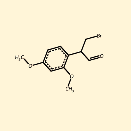 COc1ccc(C(C=O)CBr)c(OC)c1